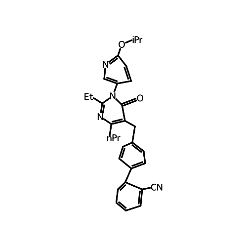 CCCc1nc(CC)n(-c2ccc(OC(C)C)nc2)c(=O)c1Cc1ccc(-c2ccccc2C#N)cc1